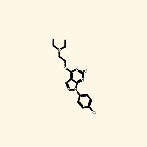 CCN(CC)CCSc1ncnc2c1cnn2-c1ccc(Cl)cc1.Cl